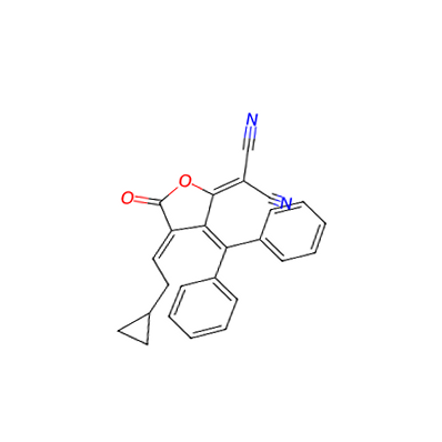 N#CC(C#N)=C1OC(=O)/C(=C/CC2CC2)C1=C(c1ccccc1)c1ccccc1